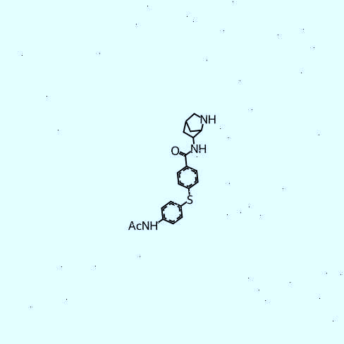 CC(=O)Nc1ccc(Sc2ccc(C(=O)NC3CC4CNC3C4)cc2)cc1